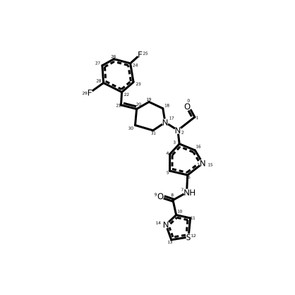 O=CN(c1ccc(NC(=O)c2cscn2)nc1)N1CCC(=Cc2cc(F)ccc2F)CC1